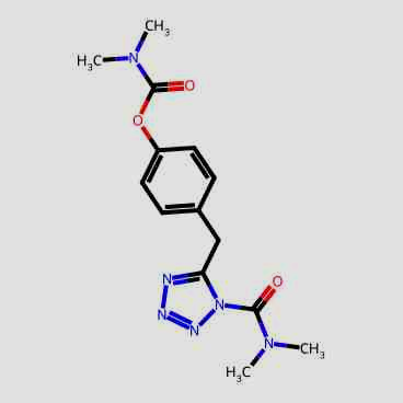 CN(C)C(=O)Oc1ccc(Cc2nnnn2C(=O)N(C)C)cc1